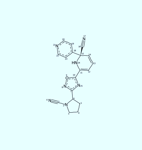 N#CN1CCCC1c1noc(C2=CC=C[C@@](C#N)(c3ccncc3)N2)n1